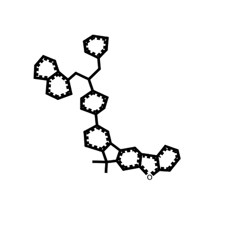 CC1(C)c2ccc(-c3ccc(C(Cc4ccccc4)Cc4cccc5ccccc45)cc3)cc2-c2cc3c(cc21)oc1ccccc13